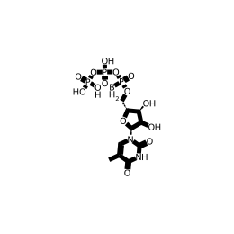 BP(=O)(OC[C@H]1O[C@@H](n2cc(C)c(=O)[nH]c2=O)C(O)[C@H]1O)OP(=O)(O)OP(=O)(O)O